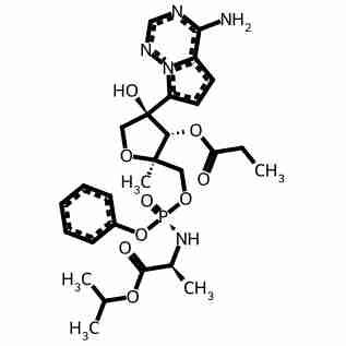 CCC(=O)O[C@@H]1[C@@](C)(CO[P@@](=O)(N[C@@H](C)C(=O)OC(C)C)Oc2ccccc2)OC[C@]1(O)c1ccc2c(N)ncnn12